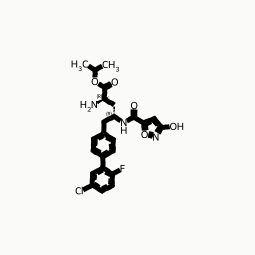 CC(C)OC(=O)[C@H](N)C[C@@H](Cc1ccc(-c2cc(Cl)ccc2F)cc1)NC(=O)c1cc(O)no1